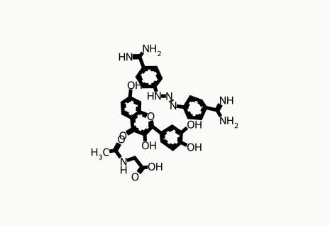 CC(=O)NCC(=O)O.N=C(N)c1ccc(/N=N/Nc2ccc(C(=N)N)cc2)cc1.O=c1c(O)c(-c2ccc(O)c(O)c2)oc2cc(O)ccc12